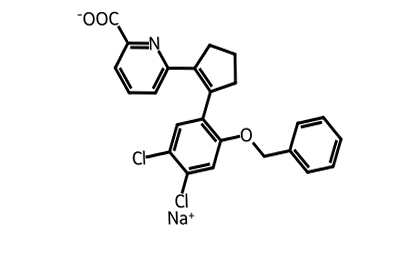 O=C([O-])c1cccc(C2=C(c3cc(Cl)c(Cl)cc3OCc3ccccc3)CCC2)n1.[Na+]